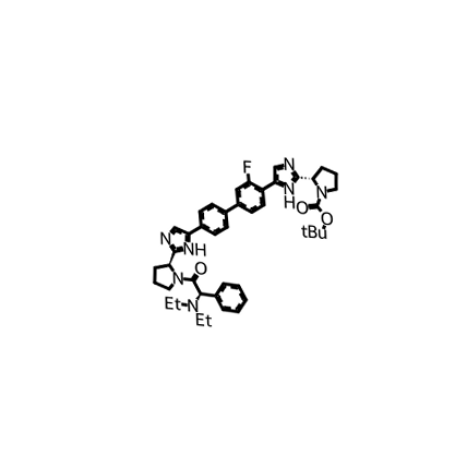 CCN(CC)[C@@H](C(=O)N1CCC[C@H]1c1ncc(-c2ccc(-c3ccc(-c4cnc([C@@H]5CCCN5C(=O)OC(C)(C)C)[nH]4)c(F)c3)cc2)[nH]1)c1ccccc1